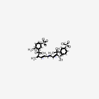 C=C(/C=C/C=C/C=C1/N(CC)c2ccc(S(=O)(=O)Cl)cc2C1(C)C)C(C)(C)c1cc(S(=O)(=O)Cl)ccc1C